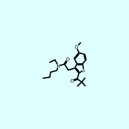 CCCCN(CC)C(=O)Cc1c(C(=O)C(C)(C)C)sc2ccc(OC)cc12